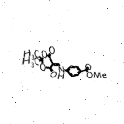 COC(=O)c1ccc(NC=C2C(=O)OC(C)(C)OC2=O)cc1